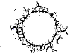 C/C=C/C[C@@H](C)[C@@H](O)[C@H]1C(=O)N[C@@H](CC)C(=O)N(C)[C@H](CO)C(=O)N(C)[C@@H](C(C)COC)C(=O)N[C@@H](C(C)C)C(=O)N(C)[C@@H](CCC(C)C)C(=O)N[C@@H](C)C(=O)N[C@H](C)C(=O)N(C)[C@@H](CC(C)C)C(=O)N(C)[C@@H](CC(C)C)C(=O)N(C)[C@@H](C(C)C)C(=O)N1C